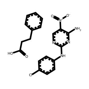 Nc1nc(Nc2ccc(Cl)cc2)ncc1[N+](=O)[O-].O=C(O)CCc1ccccc1